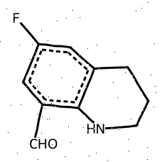 O=Cc1cc(F)cc2c1NCCC2